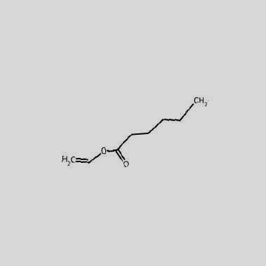 [CH2]CCCCC(=O)OC=C